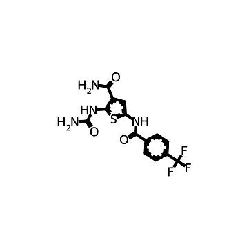 NC(=O)Nc1sc(NC(=O)c2ccc(C(F)(F)F)cc2)cc1C(N)=O